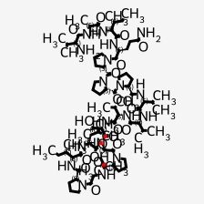 CC[C@H](C)[C@H](NC(=O)[C@H](C)NC(=O)[C@@H](N)C(C)C)C(=O)N[C@@H](CCC(N)=O)C(=O)N1CCC[C@H]1C(=O)N1CCC[C@H]1C(=O)N1CCC[C@H]1C(=O)N[C@H](C(=O)N[C@H](C(=O)N[C@H](C(=O)N[C@H](C(=O)N[C@@H](CC(C)C)C(=O)N1CCC[C@H]1C(=O)NCC(=O)N1CCC[C@H]1C(=O)N[C@H](C(=O)N[C@@H](CC(C)C)C(=O)O)[C@@H](C)CC)[C@@H](C)O)C(C)C)C(C)C)C(C)C